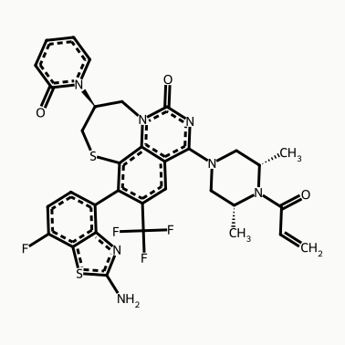 C=CC(=O)N1[C@H](C)CN(c2nc(=O)n3c4c(c(-c5ccc(F)c6sc(N)nc56)c(C(F)(F)F)cc24)SC[C@@H](n2ccccc2=O)C3)C[C@@H]1C